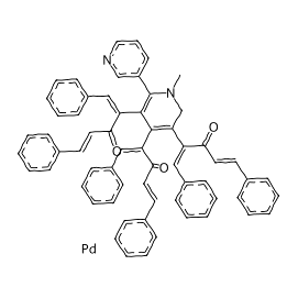 CN1CC(C(=Cc2ccccc2)C(=O)C=Cc2ccccc2)=C(C(=Cc2ccccc2)C(=O)C=Cc2ccccc2)C(C(=Cc2ccccc2)C(=O)C=Cc2ccccc2)=C1c1cccnc1.[Pd]